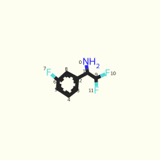 NC(c1cccc(F)c1)C(F)F